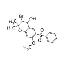 COc1cc2c(cc1S(=O)(=O)c1ccccc1)C(O)C(Br)C(C)(C)O2